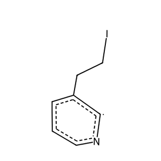 ICCc1[c]nccc1